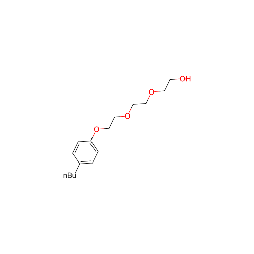 CCCCc1ccc(OCCOCCOCCO)cc1